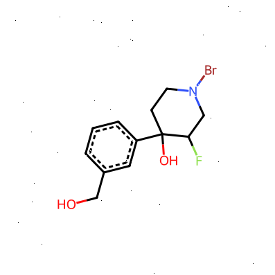 OCc1cccc(C2(O)CCN(Br)CC2F)c1